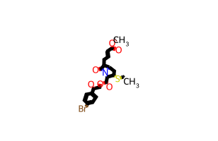 CCSC1CC2C(CC=CC(=O)OC)C(=O)N2C1C(=O)OCC(=O)c1ccc(Br)cc1